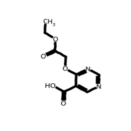 CCOC(=O)COc1ncncc1C(=O)O